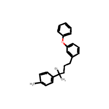 CCC(C)(CCCc1cccc(Oc2ccccc2)c1)c1ccc(C)cc1